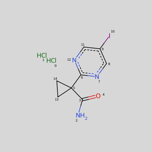 Cl.Cl.NC(=O)C1(c2ncc(I)cn2)CC1